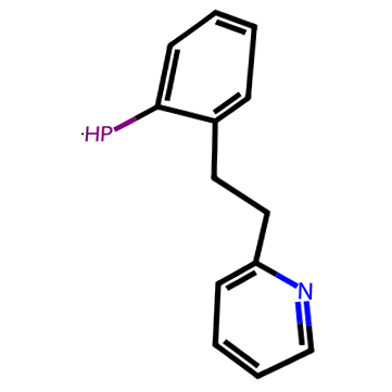 [PH]c1ccccc1CCc1ccccn1